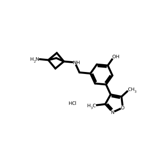 Cc1noc(C)c1-c1cc(O)cc(CNC23CC(N)(C2)C3)c1.Cl